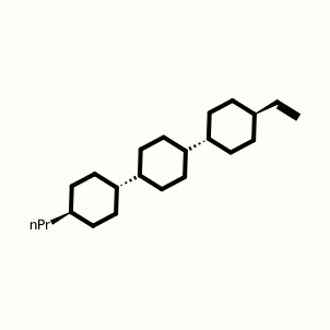 C=C[C@H]1CC[C@H](C2CCC([C@H]3CC[C@H](CCC)CC3)CC2)CC1